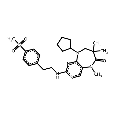 CN1C(=O)C(C)(C)CN(C2CCCC2)c2nc(NCCc3ccc(S(C)(=O)=O)cc3)ncc21